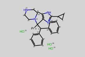 Cc1[nH]c(C2CC2)nc1C(C(C)C)(C(c1ccccc1)c1ccccc1)N1CCNCC1.Cl.Cl.Cl